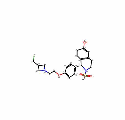 CS(=O)(=O)N1CCc2cc(O)ccc2[C@H]1c1ccc(OCCN2CC(CF)C2)cc1